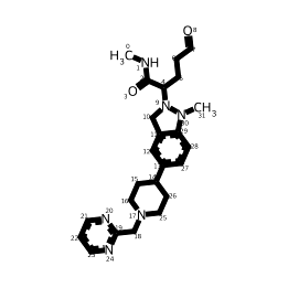 CNC(=O)C(CCC=O)N1Cc2cc(C3CCN(Cc4ncccn4)CC3)ccc2N1C